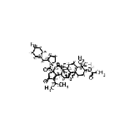 CC(=O)OC1CCC2(C)C(CCC3(C)C2CCC2C4=C(C(C)C)C(=O)CC4(C(=O)N4CCCC4CN4CCC(F)CC4)CCC23C)C1(C)C